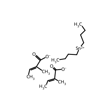 C/C=C(\C)C(=O)[O-].C/C=C(\C)C(=O)[O-].CCC[CH2][Sn+2][CH2]CCC